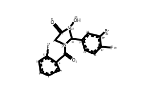 O=C1CN(C(=O)c2ccccc2F)C(c2ccc(F)c(Br)c2)N1O